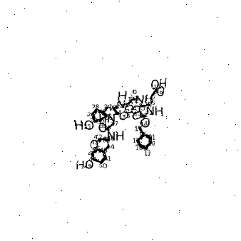 C[C@H](NC(=O)[C@H](CCC(=O)O)NC(=O)OCc1ccccc1)C(=O)N[C@@H](Cc1ccc(O)cc1)C(=O)NCC(=O)N[C@H]([C]=O)Cc1ccc(O)cc1